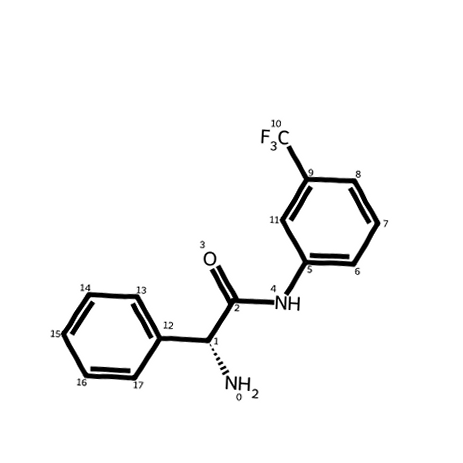 N[C@@H](C(=O)Nc1cccc(C(F)(F)F)c1)c1ccccc1